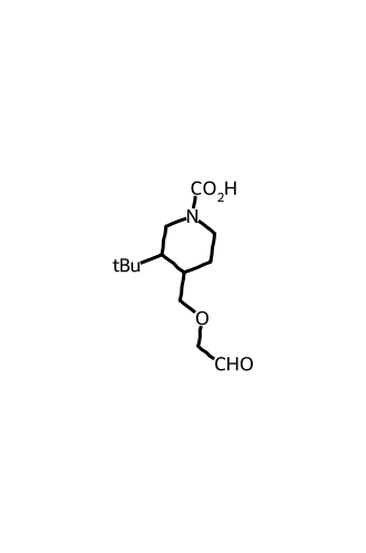 CC(C)(C)C1CN(C(=O)O)CCC1COCC=O